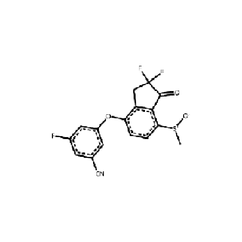 C[S+]([O-])c1ccc(Oc2cc(F)cc(C#N)c2)c2c1C(=O)C(F)(F)C2